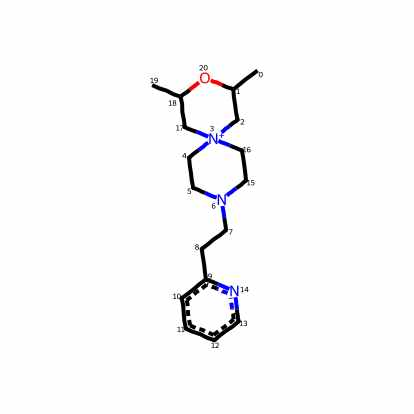 CC1C[N+]2(CCN(CCc3ccccn3)CC2)CC(C)O1